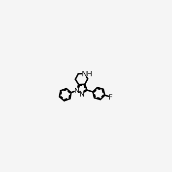 Fc1ccc(-c2nn(-c3ccccc3)c3c2CNCC3)cc1